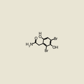 NC(=O)Cc1c(O)cc(Br)c(O)c1Br